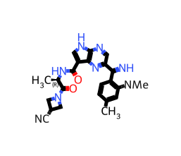 CNc1cc(C)ccc1C(=N)c1cnc2[nH]cc(C(=O)N[C@H](C)C(=O)N3CC(C#N)C3)c2n1